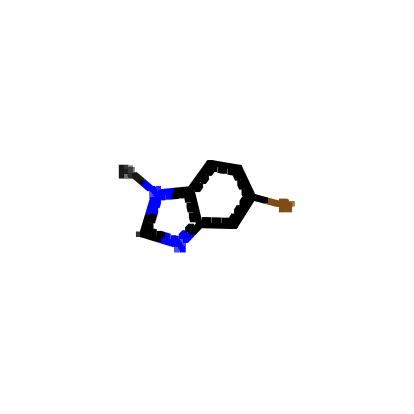 CCn1[c]nc2cc(Br)ccc21